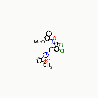 COc1cc2c(c(C(=O)N(C)C[C@@H](CCN3CCC(c4ccccc4[S@+](C)[O-])CC3)c3ccc(Cl)c(Cl)c3)c1)CCCC2